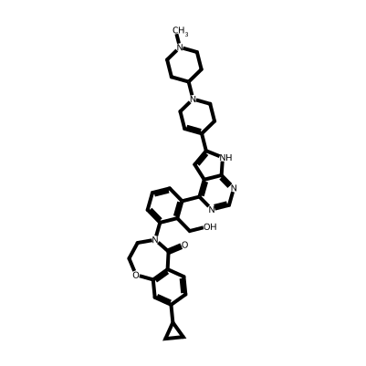 CN1CCC(N2CC=C(c3cc4c(-c5cccc(N6CCOc7cc(C8CC8)ccc7C6=O)c5CO)ncnc4[nH]3)CC2)CC1